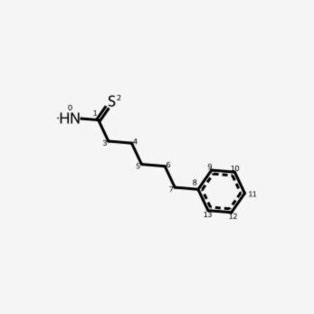 [NH]C(=S)CCCCCc1ccccc1